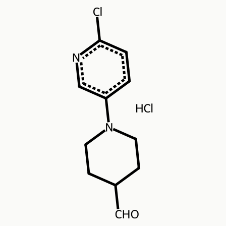 Cl.O=CC1CCN(c2ccc(Cl)nc2)CC1